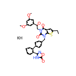 CCc1cc2c(=O)n(CC(=O)c3cc(OC)cc(OC)c3)c(=O)n(Cc3ccc(-c4ccccc4-c4noc(=O)[nH]4)cc3)c2s1.[KH]